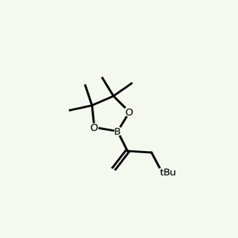 C=C(CC(C)(C)C)B1OC(C)(C)C(C)(C)O1